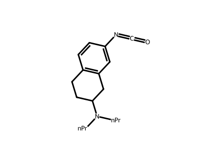 CCCN(CCC)C1CCc2ccc(N=C=O)cc2C1